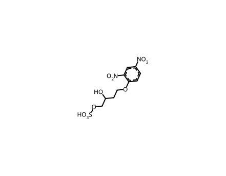 O=[N+]([O-])c1ccc(OCCC(O)COS(=O)(=O)O)c([N+](=O)[O-])c1